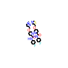 Cn1ccc(COc2ccc(C(=O)Nc3ccc(F)cc3)nc2)n1.O=C(Nc1ccc(F)cc1)c1ccc(OCc2cncs2)cn1